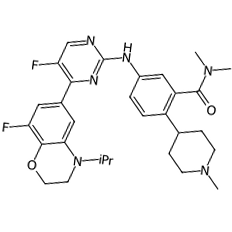 CC(C)N1CCOc2c(F)cc(-c3nc(Nc4ccc(C5CCN(C)CC5)c(C(=O)N(C)C)c4)ncc3F)cc21